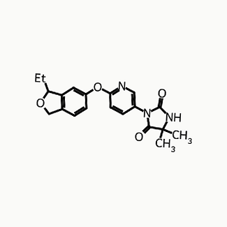 CCC1OCc2ccc(Oc3ccc(N4C(=O)NC(C)(C)C4=O)cn3)cc21